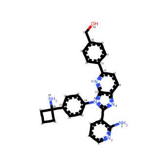 Nc1ncccc1-c1nc2ccc(-c3ccc(CO)cc3)nc2n1-c1ccc(C2(N)CCC2)cc1